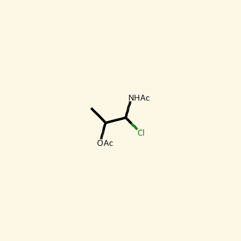 CC(=O)NC(Cl)C(C)OC(C)=O